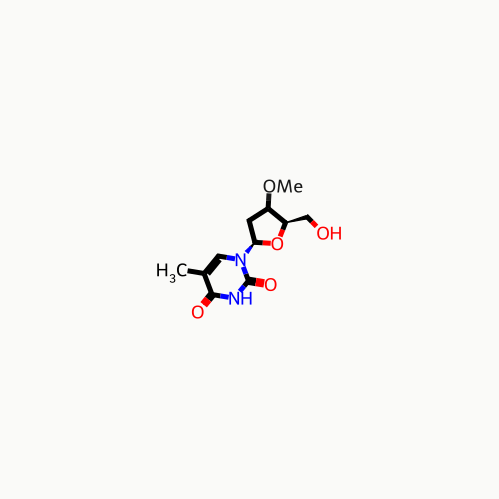 COC1C[C@H](n2cc(C)c(=O)[nH]c2=O)O[C@@H]1CO